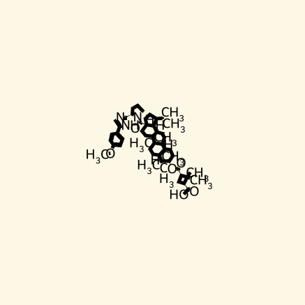 COc1ccc(-c2cnc([C@@H]3CCCN3C(=O)[C@]34CCC(C(C)C)[C@@H]3[C@H]3CC[C@@H]5[C@@]6(C)CC[C@H](OC(=O)[C@H]7C[C@@H](C(=O)O)C7(C)C)C(C)(C)[C@@H]6CC[C@@]5(C)[C@]3(C)CC4)[nH]2)cc1